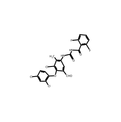 Cc1c(NC(=O)NC(=O)c2c(F)cccc2F)cc(C=O)c(Oc2ccc(Cl)cc2Cl)c1Cl